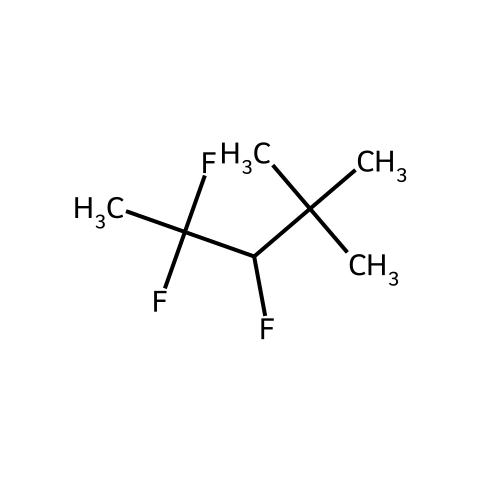 CC(C)(C)C(F)C(C)(F)F